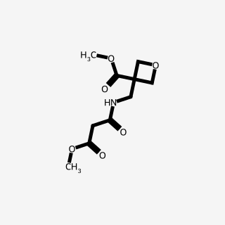 COC(=O)CC(=O)NCC1(C(=O)OC)COC1